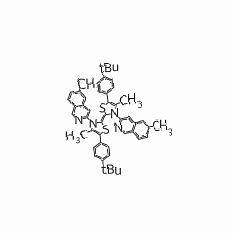 CC1=C(c2ccc(C(C)(C)C)cc2)S/C(=C2/SC(c3ccc(C(C)(C)C)cc3)=C(C)N2c2cc3cc(C)ccc3cn2)N1c1cc2cc(C)ccc2cn1